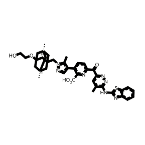 Cc1cc(C(=O)c2ccc(-c3cnn(CC45CC6(OCCO)C[C@](C)(C4)C[C@](C)(C5)C6)c3C)c(C(=O)O)n2)nnc1Nc1nc2ccccc2s1